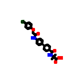 CC(C)(NC(=O)[C@H]1CC[C@H](c2ccc(NC(=O)COc3ccc(Cl)cc3)cc2)CC1)C(=O)O